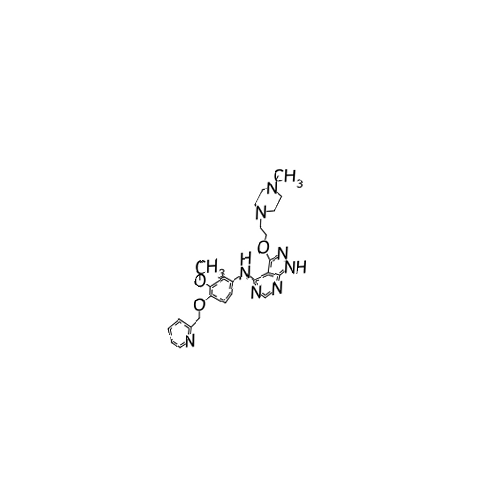 COc1cc(Nc2ncnc3[nH]nc(OCCN4CCN(C)CC4)c23)ccc1OCc1ccccn1